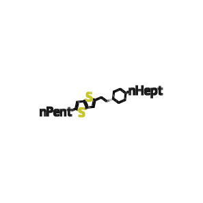 CCCCCCC[C@H]1CC[C@H](CCc2cc3sc(CCCCC)cc3s2)CC1